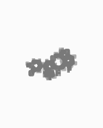 CN1CC[C@@H](c2cc3c(n4cnnc24)NCc2c(F)ccc4c2[C@H](CO4)CO3)CC1=O